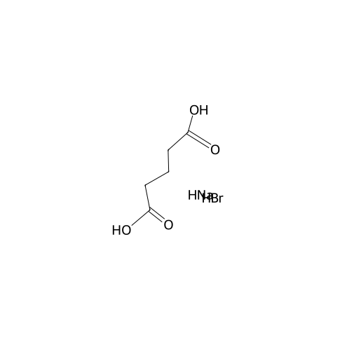 Br.O=C(O)CCCC(=O)O.[NaH]